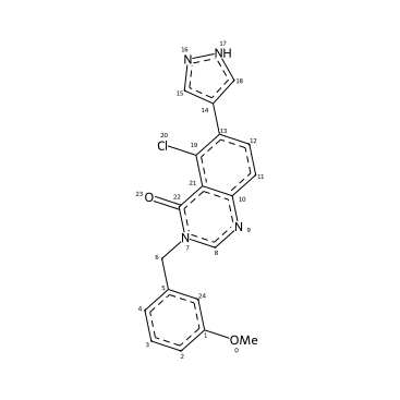 COc1cccc(Cn2cnc3ccc(-c4cn[nH]c4)c(Cl)c3c2=O)c1